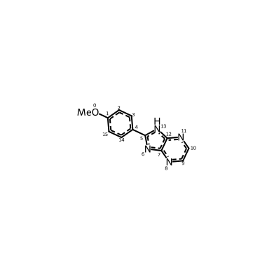 COc1ccc(-c2nc3nccnc3[nH]2)cc1